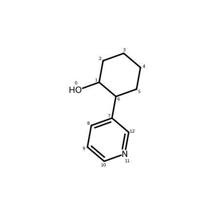 OC1CCCCC1c1cccnc1